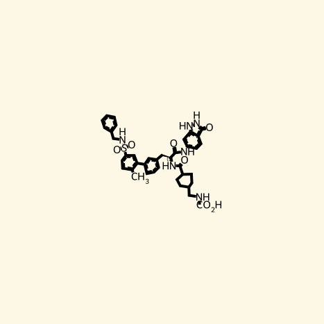 Cc1ccc(S(=O)(=O)NCc2ccccc2)cc1-c1cccc(C[C@H](NC(=O)C2CCC(CNC(=O)O)CC2)C(=O)Nc2ccc3c(=O)[nH][nH]c3c2)c1